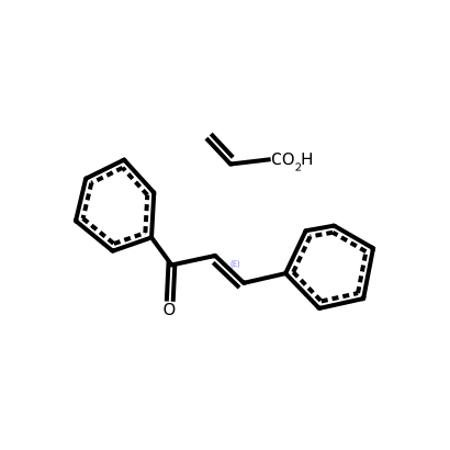 C=CC(=O)O.O=C(/C=C/c1ccccc1)c1ccccc1